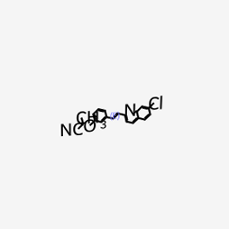 CC(C#N)Oc1cccc(/C=C/c2ccc3ccc(Cl)cc3n2)c1